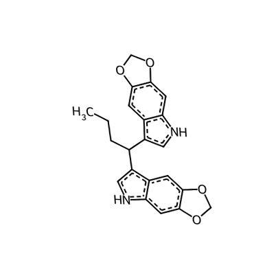 CCCC(c1c[nH]c2cc3c(cc12)OCO3)c1c[nH]c2cc3c(cc12)OCO3